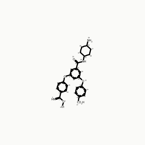 CCOC(=N)c1ccc(Oc2cc(Oc3ccc(C(=O)O)cc3)cc(C(=O)NC3CCC(N)CC3)c2)cc1